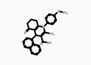 COc1ccc(N2C(C)=C(C(=O)O)C(c3cccc4ccccc34)C3=C2CCCC3=O)cc1